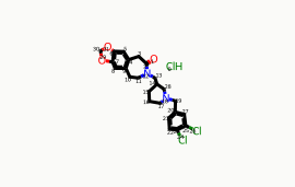 Cl.O=C1Cc2cc3c(cc2CCN1CC1CCCN(Cc2ccc(Cl)c(Cl)c2)C1)OCO3